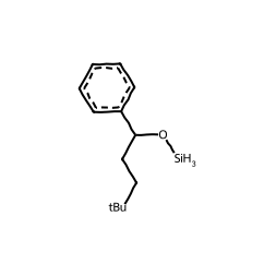 CC(C)(C)CCC(O[SiH3])c1ccccc1